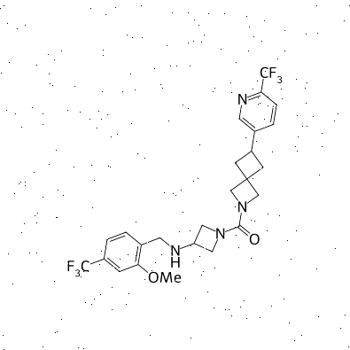 COc1cc(C(F)(F)F)ccc1CNC1CN(C(=O)N2CC3(CC(c4ccc(C(F)(F)F)nc4)C3)C2)C1